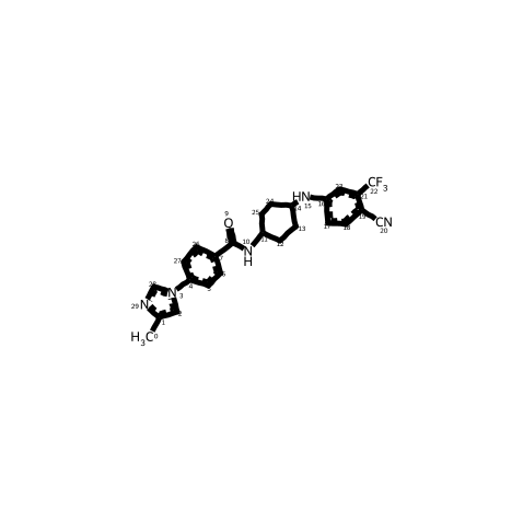 Cc1cn(-c2ccc(C(=O)NC3CCC(Nc4ccc(C#N)c(C(F)(F)F)c4)CC3)cc2)cn1